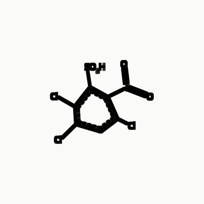 O=I(=O)c1c(Cl)cc(Cl)c(Cl)c1S(=O)(=O)O